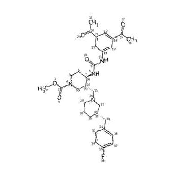 COC(=O)N1CC[C@@H](NC(=O)Nc2cc(C(C)=O)cc(C(C)=O)c2)[C@H](CN2CCC[C@@H](Cc3ccc(F)cc3)C2)C1